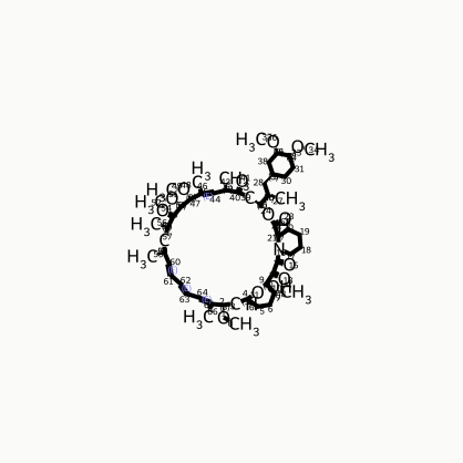 CO[C@H]1C[C@@H]2CC[C@@H](C)[C@@](O)(O2)C(=O)C(=O)N2CCCC[C@H]2C(=O)O[C@H]([C@H](C)C[C@@H]2CC[C@@H](OC)[C@H](OC)C2)CC(=O)[C@H](C)/C=C(\C)[C@@H](OC)[C@@H](OC)C(=O)[C@H](C)C[C@H](C)/C=C/C=C/C=C/1C